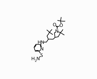 CC(C)(C)CC(CNc1cccc(SN)n1)CC1CN(C(=O)OC(C)(C)C)C(C)(C)C1